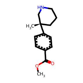 COC(=O)c1ccc([C@@]2(C)CCCNC2)cc1